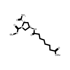 COC(=O)CCCCCCC(=O)N[C@@H]1C[C@@H](C(N)=O)N(C(=O)OC(C)(C)C)C1